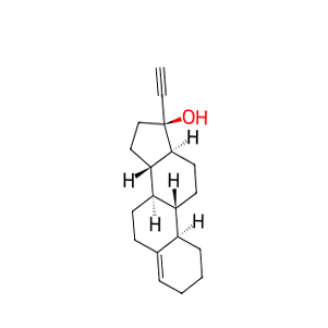 C#C[C@@]1(O)CC[C@H]2[C@@H]3CCC4=CCCC[C@@H]4[C@H]3CC[C@@H]21